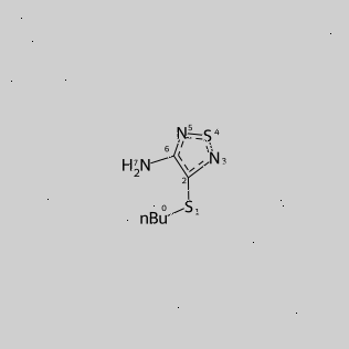 CCCCSc1nsnc1N